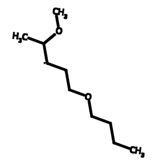 CCCCOCC[CH]C(C)OC